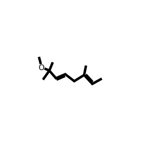 C/C=C(\C)C/C=C/C(C)(C)OC